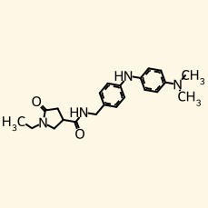 CCN1CC(C(=O)NCc2ccc(Nc3ccc(N(C)C)cc3)cc2)CC1=O